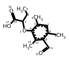 CCC(Oc1c(C)cc(C)c(C=O)c1C)C(=O)O